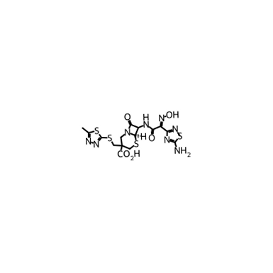 Cc1nnc(SCC2(C(=O)O)CS[C@@H]3C(NC(=O)C(=NO)c4nsc(N)n4)C(=O)N3C2)s1